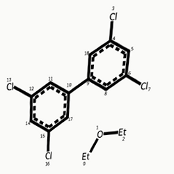 CCOCC.Clc1cc(Cl)cc(-c2cc(Cl)cc(Cl)c2)c1